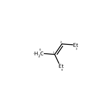 [CH2]/C(=C/CC)CC